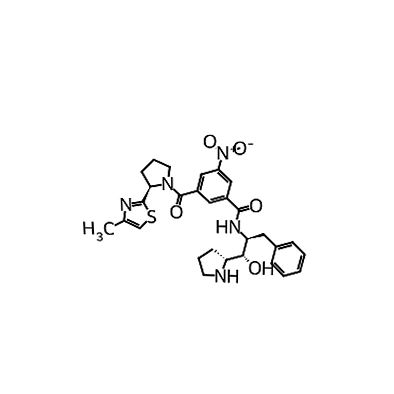 Cc1csc([C@H]2CCCN2C(=O)c2cc(C(=O)N[C@@H](Cc3ccccc3)[C@H](O)[C@H]3CCCN3)cc([N+](=O)[O-])c2)n1